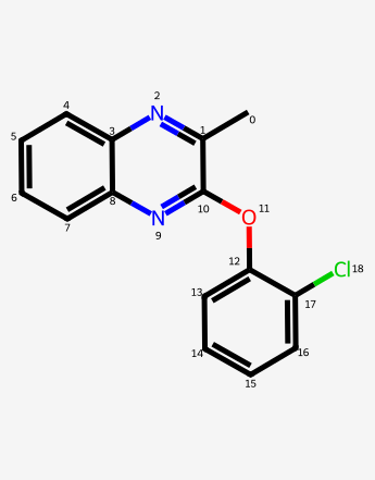 Cc1nc2ccccc2nc1Oc1ccccc1Cl